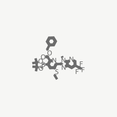 CCSc1cc(B2OC(C)(C)C(C)(C)O2)c(C(=O)OCc2ccccc2)nc1-c1nc2cc(C(F)(F)F)cnc2n1C